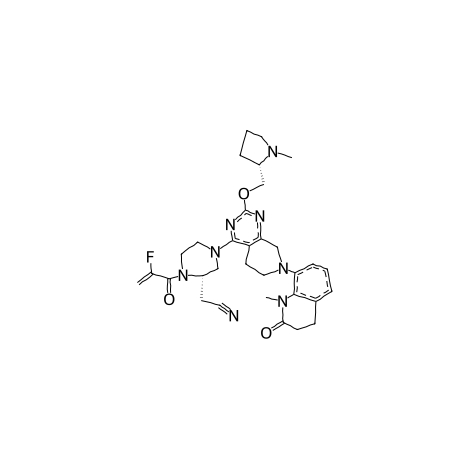 C=C(F)C(=O)N1CCN(c2nc(OC[C@@H]3CCCN3C)nc3c2CCN(c2cccc4c2N(C)C(=O)CC4)C3)C[C@@H]1CC#N